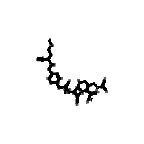 C#CC(CCSC)NCc1ccc(CC(=O)NC2C(=O)N3C(C(=O)O)=C(COC(C)=O)CSC23)cc1